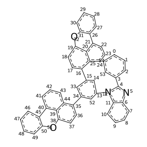 c1ccc(-c2nc3ccccc3n2-c2cc(-c3ccc4c5c(cccc35)-c3ccccc3O4)cc(-c3ccc4c5c(cccc35)-c3ccccc3O4)c2)cc1